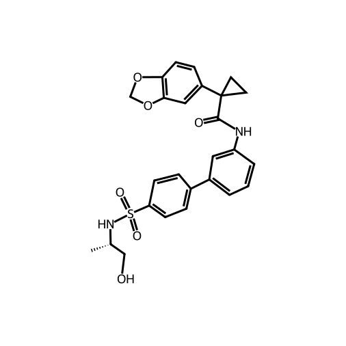 C[C@@H](CO)NS(=O)(=O)c1ccc(-c2cccc(NC(=O)C3(c4ccc5c(c4)OCO5)CC3)c2)cc1